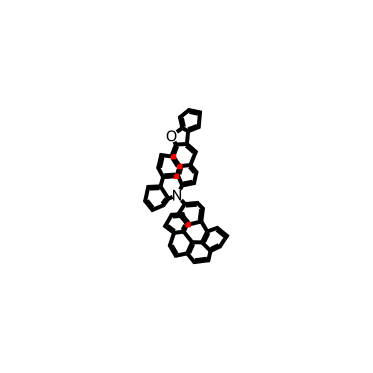 c1ccc(-c2ccccc2N(c2ccc(-c3cccc4ccc5ccc6ccccc6c5c34)cc2)c2ccc3cc4c(cc3c2)oc2ccccc24)cc1